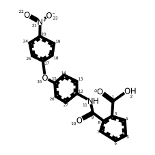 O=C(O)c1ccccc1C(=O)Nc1ccc(Oc2ccc([N+](=O)[O-])cc2)cc1